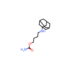 NC(=O)OCCCCNC12CC3CC(CC(C3)C1)C2